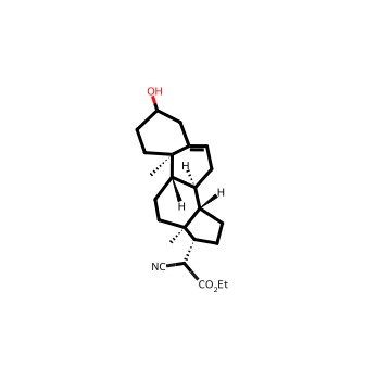 CCOC(=O)C(C#N)[C@H]1CC[C@H]2[C@@H]3CC=C4CC(O)CC[C@]4(C)[C@H]3CC[C@]12C